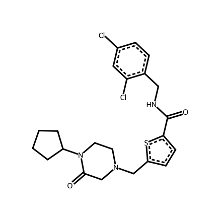 O=C(NCc1ccc(Cl)cc1Cl)c1ccc(CN2CCN(C3CCCC3)C(=O)C2)s1